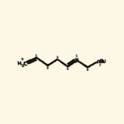 C=CCCC=NCCCCC